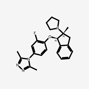 Cc1nnc(C)n1-c1ccc(O[C@@H]2c3ccccc3C[C@@]2(C)N2CCCC2)c(F)c1